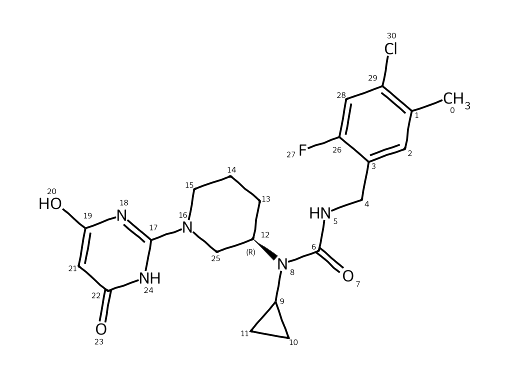 Cc1cc(CNC(=O)N(C2CC2)[C@@H]2CCCN(c3nc(O)cc(=O)[nH]3)C2)c(F)cc1Cl